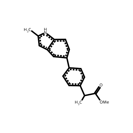 COC(=O)C(C)c1ccc(-c2ccc3[nH]c(C)cc3c2)cc1